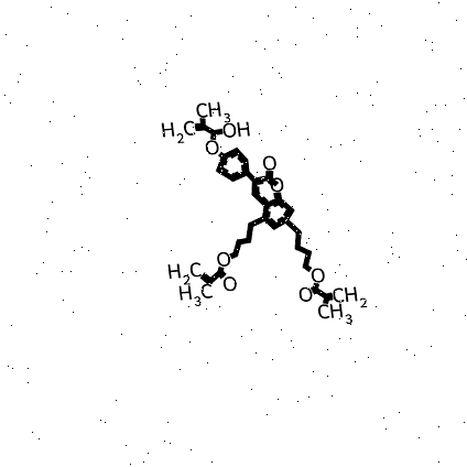 C=C(C)C(=O)OCCCCc1cc(CCCCOC(=O)C(=C)C)c2cc(-c3ccc(OC(O)C(=C)C)cc3)c(=O)oc2c1